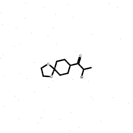 CC(Br)C(=O)C1CCC2(CC1)OCCO2